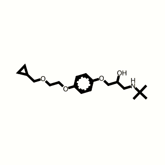 CC(C)(C)NCC(O)COc1ccc(OCCOCC2CC2)cc1